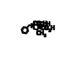 CC(CN(Cc1ccccc1)C(=O)O)N(C(=O)O)C(=O)O